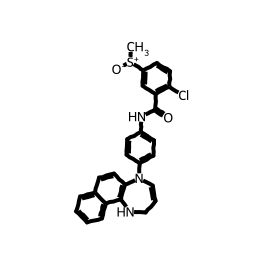 C[S+]([O-])c1ccc(Cl)c(C(=O)Nc2ccc(N3C=CCNc4c3ccc3ccccc43)cc2)c1